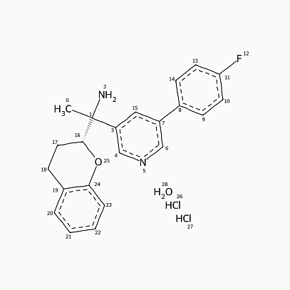 CC(N)(c1cncc(-c2ccc(F)cc2)c1)[C@H]1CCc2ccccc2O1.Cl.Cl.O